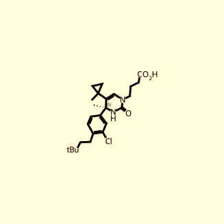 CC(C)(C)CCc1ccc([C@]2(C)NC(=O)N(CCCC(=O)O)C=C2C2(C)CC2)cc1Cl